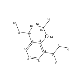 CCC(C)c1cccc(C(C)CC)c1OC(C)C